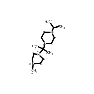 CC(C)N1CCN(C(C)(C)N2CCN(C)CC2)CC1